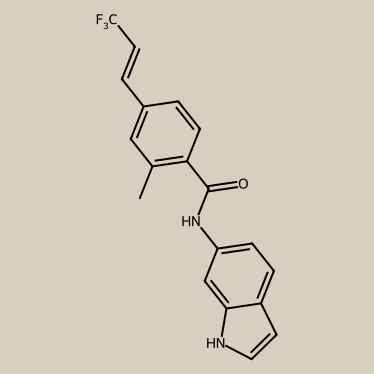 Cc1cc(C=CC(F)(F)F)ccc1C(=O)Nc1ccc2cc[nH]c2c1